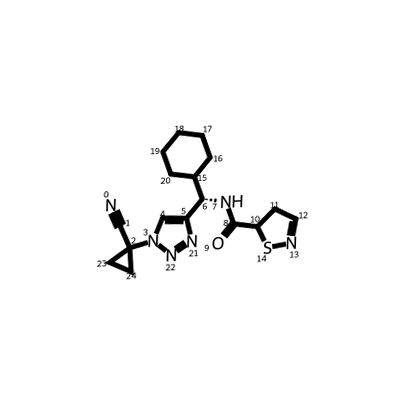 N#CC1(n2cc([C@@H](NC(=O)C3CC=NS3)C3CCCCC3)nn2)CC1